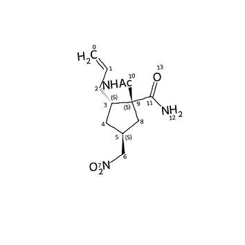 C=CC[C@H]1C[C@H](C[N+](=O)[O-])C[C@@]1(NC(C)=O)C(N)=O